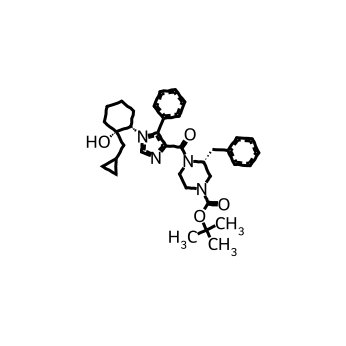 CC(C)(C)OC(=O)N1CCN(C(=O)c2ncn([C@H]3CCCC[C@]3(O)CC3CC3)c2-c2ccccc2)[C@H](Cc2ccccc2)C1